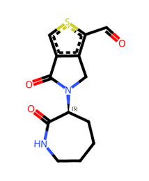 O=Cc1scc2c1CN([C@H]1CCCCNC1=O)C2=O